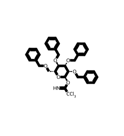 N=C(O[C@H]1O[C@H](COCc2ccccc2)[C@@H](OCc2ccccc2)[C@H](OCc2ccccc2)[C@@H]1OCc1ccccc1)C(Cl)(Cl)Cl